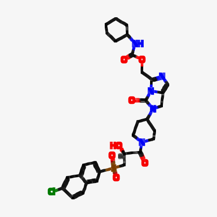 O=C(NC1CCCCC1)OCc1ncc2n1C(=O)N(C1CCN(C(=O)[C@H](O)CS(=O)(=O)c3ccc4cc(Cl)ccc4c3)CC1)C2